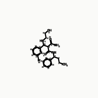 CCCC(NC(=O)C(C(N)=O)C(NCCO)c1cccc(Br)n1)c1ccccc1